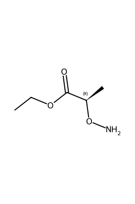 CCOC(=O)[C@@H](C)ON